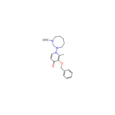 Cc1c(OCc2ccccc2)c(=O)ccn1N1CCCCCN(C=O)C1